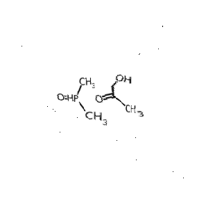 CC(=O)O.C[PH](C)=O